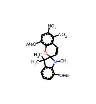 COc1cc([N+](=O)[O-])c([N+](=O)[O-])c2c1OC1(C=C2)N(C)c2c(OC)cccc2C1(C)C